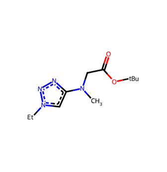 CCn1cc(N(C)CC(=O)OC(C)(C)C)nn1